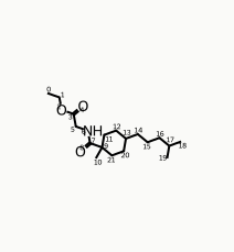 CCOC(=O)CNC(=O)C1(C)CCC(CCCC(C)C)CC1